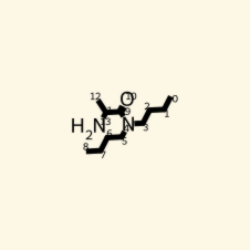 CCCCN(CCCC)C(=O)C(C)N